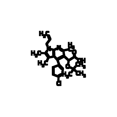 C=CCn1c(C)c(C)c2c(-c3ccc(Cl)cc3)c(C(OC(C)(C)C)C(=O)O)c(C)nc21